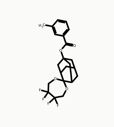 Cc1cccc(C(=O)OC23CC4CC(C2)C2(OCC(F)(F)C(F)(F)CO2)C(C4)C3)c1